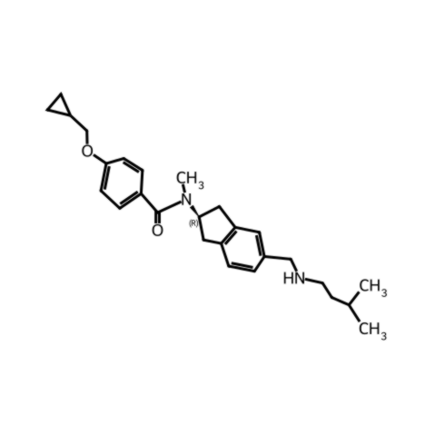 CC(C)CCNCc1ccc2c(c1)C[C@H](N(C)C(=O)c1ccc(OCC3CC3)cc1)C2